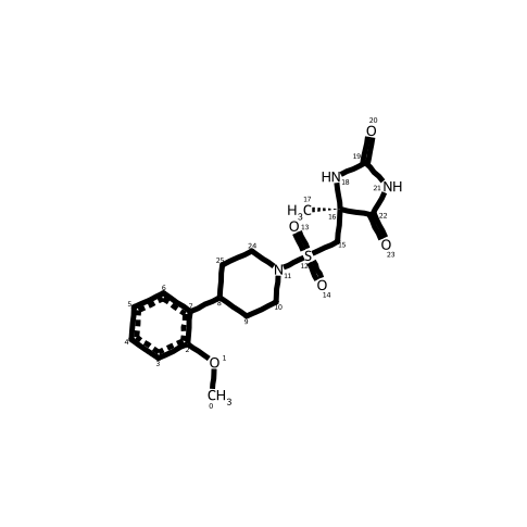 COc1ccccc1C1CCN(S(=O)(=O)C[C@@]2(C)NC(=O)NC2=O)CC1